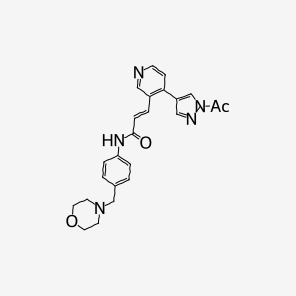 CC(=O)n1cc(-c2ccncc2/C=C/C(=O)Nc2ccc(CN3CCOCC3)cc2)cn1